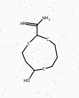 N=C(N)C1CCCCCC(O)CCC1